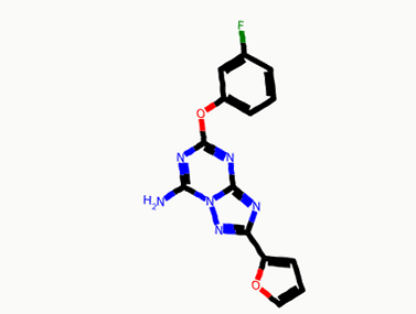 Nc1nc(Oc2cccc(F)c2)nc2nc(-c3ccco3)nn12